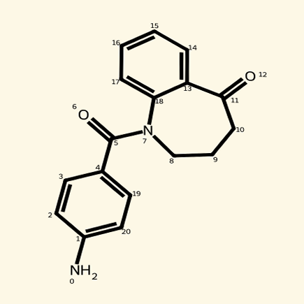 Nc1ccc(C(=O)N2CCCC(=O)c3ccccc32)cc1